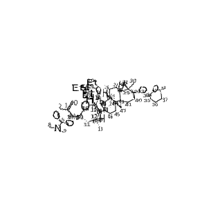 C=C(C)[C@@H](OC(=O)N(C)C)[C@H]1C[C@@H](C)[C@H]2[C@H](O1)[C@H](O[Si](CC)(CC)CC)[C@@]1(C)[C@@H]3CC[C@H]4C(C)(C)C(O[C@H]5CCCCO5)CCC45C[C@@]35CC[C@]21C